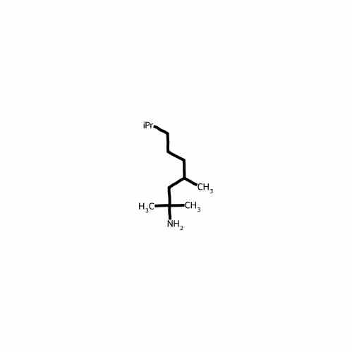 CC(C)CCCC(C)CC(C)(C)N